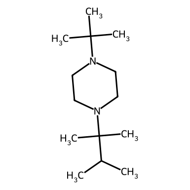 CC(C)C(C)(C)N1CCN(C(C)(C)C)CC1